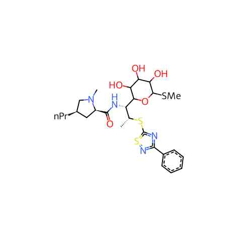 CCC[C@@H]1C[C@H](C(=O)N[C@H](C2OC(SC)C(O)C(O)C2O)[C@@H](C)Sc2nc(-c3ccccc3)ns2)N(C)C1